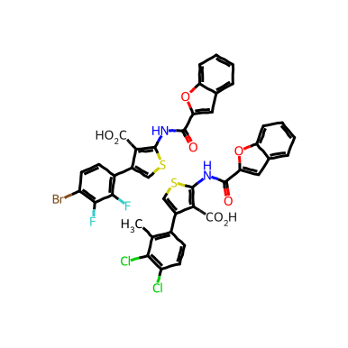 Cc1c(-c2csc(NC(=O)c3cc4ccccc4o3)c2C(=O)O)ccc(Cl)c1Cl.O=C(Nc1scc(-c2ccc(Br)c(F)c2F)c1C(=O)O)c1cc2ccccc2o1